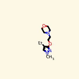 CCc1cn(C)nc1OCCN1CCOCC1